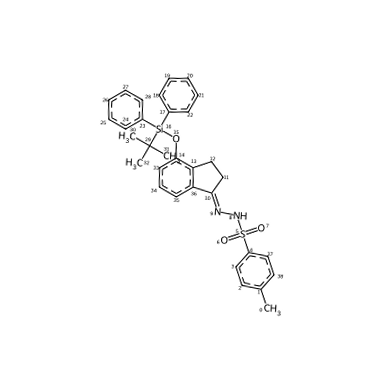 Cc1ccc(S(=O)(=O)N/N=C2\CCc3c(O[Si](c4ccccc4)(c4ccccc4)C(C)(C)C)cccc32)cc1